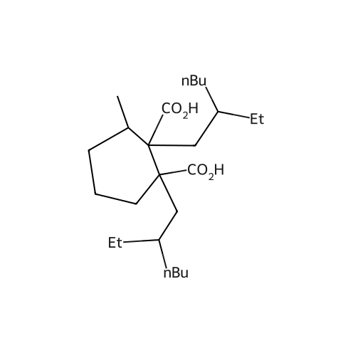 CCCCC(CC)CC1(C(=O)O)CCCC(C)C1(CC(CC)CCCC)C(=O)O